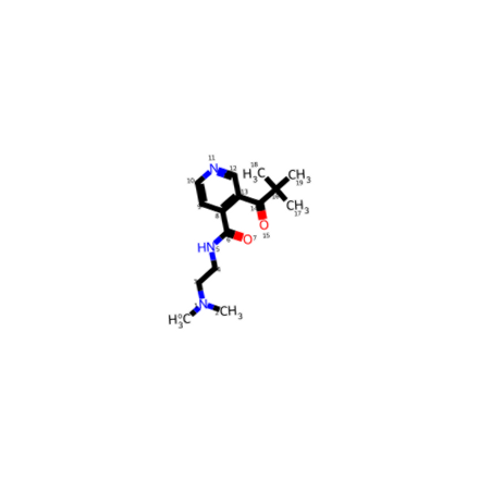 CN(C)CCNC(=O)c1ccncc1C(=O)C(C)(C)C